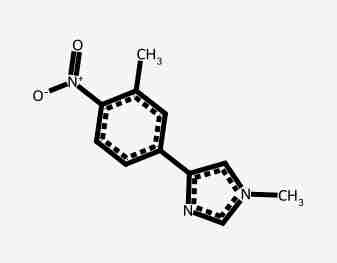 Cc1cc(-c2cn(C)cn2)ccc1[N+](=O)[O-]